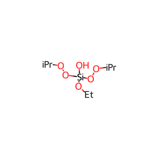 CCO[Si](O)(OOC(C)C)OOC(C)C